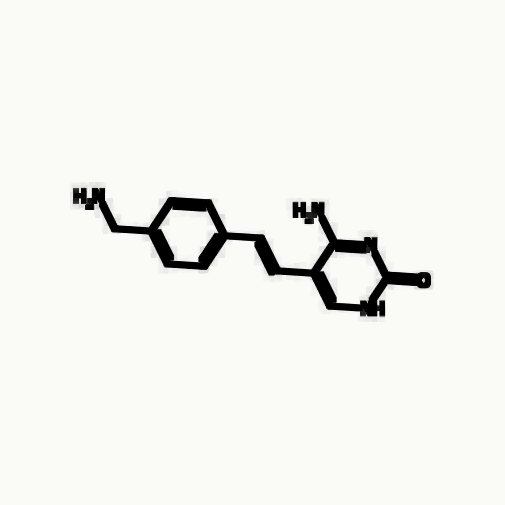 NCc1ccc(/C=C/c2c[nH]c(=O)nc2N)cc1